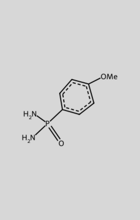 COc1ccc(P(N)(N)=O)cc1